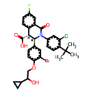 CC(C)(C)c1ccc(N2C(=O)c3cc(F)ccc3[C@@H](C(=O)O)[C@@H]2c2ccc(OCC(O)C3CC3)c(Br)c2)cc1Cl